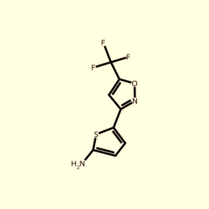 Nc1ccc(-c2cc(C(F)(F)F)on2)s1